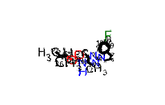 Cc1nc(N2CCCc3cc(F)ccc32)nc(C)c1NC(=O)OCC(C)C